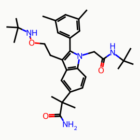 Cc1cc(C)cc(-c2c(CCONC(C)(C)C)c3cc(C(C)(C)C(N)=O)ccc3n2CC(=O)NC(C)(C)C)c1